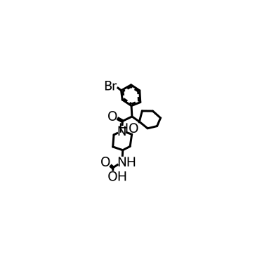 O=C(O)NC1CCN(C(=O)C(c2cccc(Br)c2)C2(O)CCCCC2)CC1